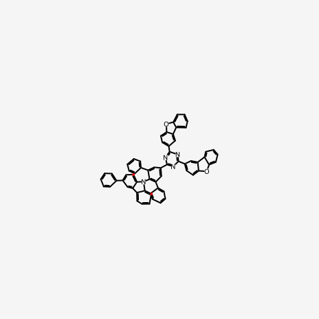 c1ccc(-c2ccc3c(c2)c2ccccc2n3-c2c(-c3ccccc3)cc(-c3nc(-c4ccc5oc6ccccc6c5c4)nc(-c4ccc5oc6ccccc6c5c4)n3)cc2-c2ccccc2)cc1